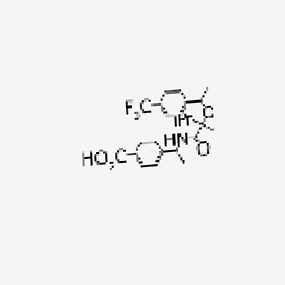 CC(O[C@](C)(C(=O)N[C@@H](C)c1ccc(C(=O)O)cc1)C(C)C)c1ccc(C(F)(F)F)cc1